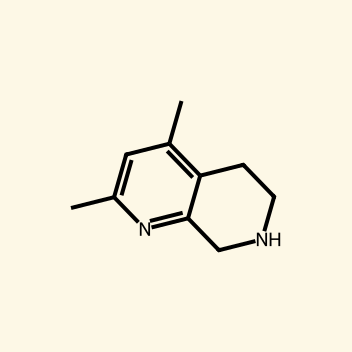 Cc1cc(C)c2c(n1)CNCC2